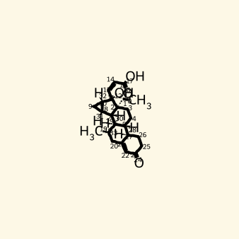 CC[C@]12CC[C@H]3[C@H]([C@@H]1[C@@H]1C[C@@H]1[C@@]2(O)/C=C\C(=O)O)[C@H](C)CC1=CC(=O)CC[C@@H]13